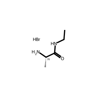 Br.CCNC(=O)[C@H](C)N